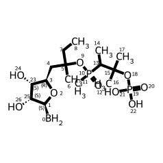 B[C@@H]1O[C@H](CC(C)(CC)OP(C)(=O)C(C)C(C)(C)OP(=O)(O)O)[C@@H](O)[C@H]1O